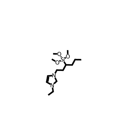 CCCC(CCN1C=CN(CC)C1)[Si](OC)(OC)OC